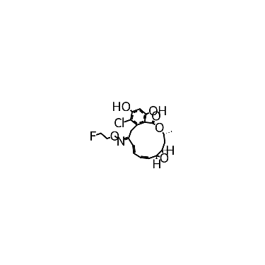 C[C@@H]1C[C@H]2O[C@@H]2/C=C\C=C\C(=NOCCF)Cc2c(Cl)c(O)cc(O)c2C(=O)O1